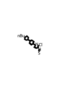 CCCCC1CCC(c2ccc(-c3ccc(N=C=S)c(Cl)n3)cc2)CC1